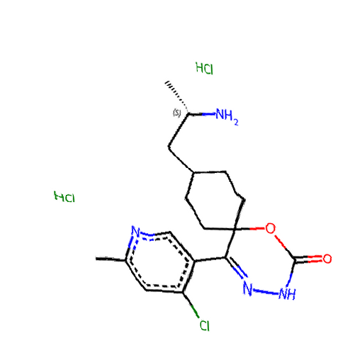 Cc1cc(Cl)c(C2=NNC(=O)OC23CCC(C[C@H](C)N)CC3)cn1.Cl.Cl